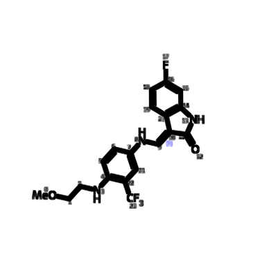 COCCNc1ccc(N/C=C2/C(=O)Nc3cc(F)ccc32)cc1C(F)(F)F